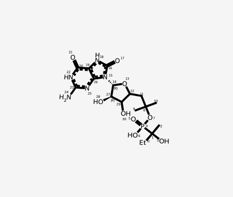 CCC(C)(O)P(=O)(O)OC(C)(C)CC1O[C@@H](n2c(=O)[nH]c3c(=O)[nH]c(N)nc32)[C@H](O)C1O